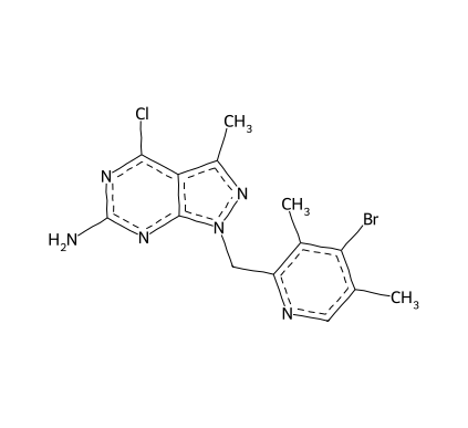 Cc1cnc(Cn2nc(C)c3c(Cl)nc(N)nc32)c(C)c1Br